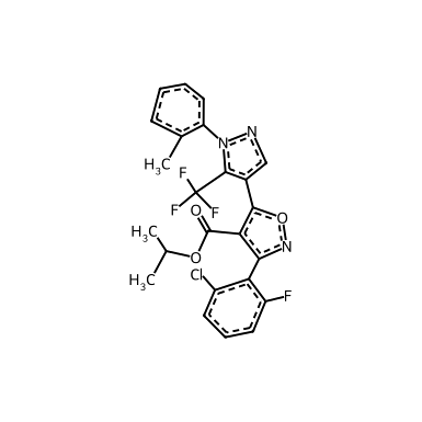 Cc1ccccc1-n1ncc(-c2onc(-c3c(F)cccc3Cl)c2C(=O)OC(C)C)c1C(F)(F)F